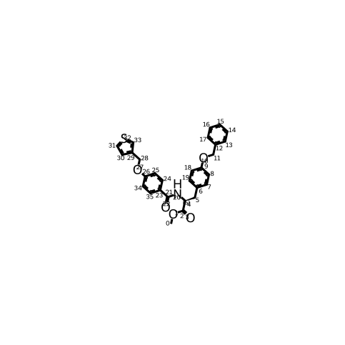 COC(=O)[C@H](Cc1ccc(OCc2ccccc2)cc1)NC(=O)c1ccc(OCc2ccsc2)cc1